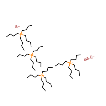 CCCC[P+](CCCC)(CCCC)CCCC.CCCC[P+](CCCC)(CCCC)CCCC.CCCC[P+](CCCC)(CCCC)CCCC.CCCC[P+](CCCC)(CCCC)CCCC.[Br-].[Br-].[Br-].[Br-]